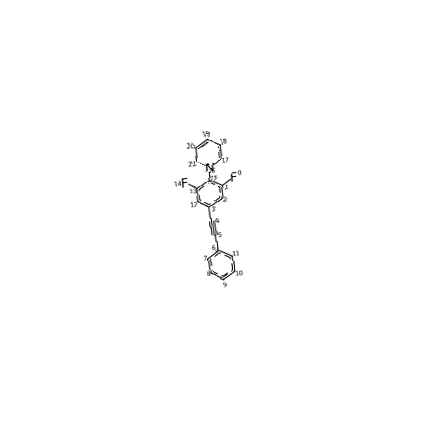 Fc1cc(C#Cc2ccccc2)cc(F)c1N1C=CC=CC1